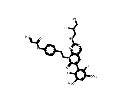 C=CC(=O)Nc1ccc(CCn2c(=O)c(-c3c(Cl)c(OC)cc(OC)c3Cl)cc3cnc(NCC(O)CO)nc32)cc1